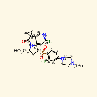 CC(C)(C)N1CCN(c2ccc(S(=O)(=O)[C@@H]3C[C@H](C(=O)O)N(C(=O)C4(c5ccc(Cl)nc5)CC4)C3)c(Cl)c2)CC1